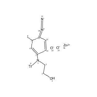 CCN(CCO)C1=CC(C)C(=[N+]=[N-])C=C1.[Cl-].[Cl-].[Zn+2]